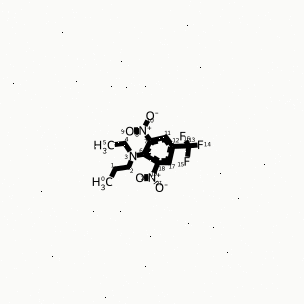 CCCN(CC)c1c([N+](=O)[O-])cc(C(F)(F)F)cc1[N+](=O)[O-]